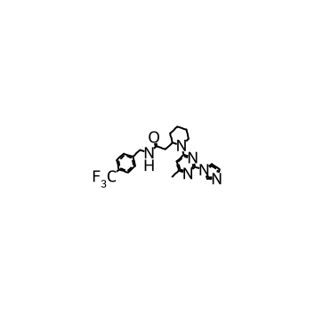 Cc1cc(N2CCCCC2CC(=O)NCc2ccc(C(F)(F)F)cc2)nc(-n2ccnc2)n1